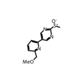 COCc1cccc(-c2cnc([S+](C)[O-])nc2)n1